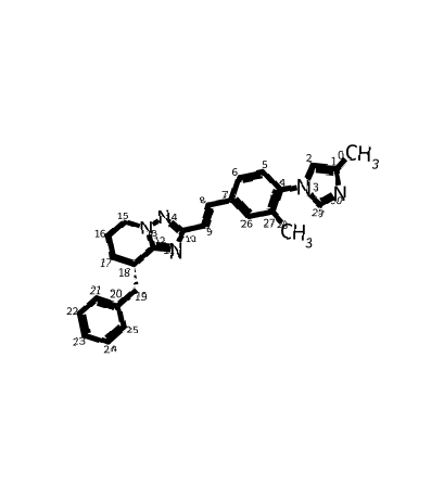 Cc1cn(-c2ccc(/C=C/c3nc4n(n3)CCC[C@H]4Cc3ccccc3)cc2C)cn1